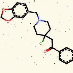 O=C(CC1(Cl)CCN(Cc2ccc3c(c2)OCO3)CC1)c1ccccc1